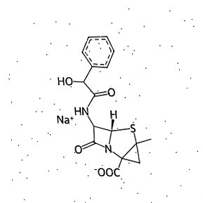 CC12CC1(C(=O)[O-])N1C(=O)C(NC(=O)C(O)c3ccccc3)[C@@H]1S2.[Na+]